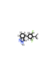 CC(C)c1c(F)cc(-c2cccc3nn(C)cc23)cc1F